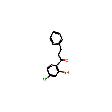 O=C(CCc1ccccc1)c1ccc(Cl)cc1S